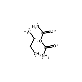 CCCC.NC(=O)OC(N)=O